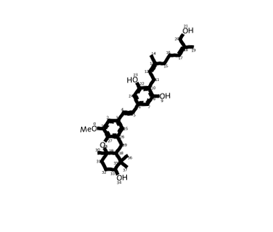 COc1cc(C=Cc2cc(O)c(CC=C(C)CCC=C(C)CO)c(O)c2)cc2c1OC1(C)CCC(O)C(C)(C)C1C2